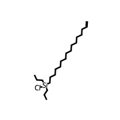 C=CCCCCCCCCCCCCCC[Si](Cl)(CCC)CCC